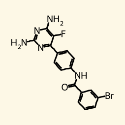 Nc1nc(N)c(F)c(-c2ccc(NC(=O)c3cccc(Br)c3)cc2)n1